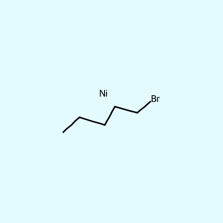 CCCCCBr.[Ni]